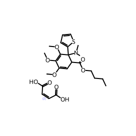 CCCCOC(=O)C1C=C(OC)C(OC)=C(OC)C1(c1cccs1)N(C)C.O=C(O)/C=C\C(=O)O